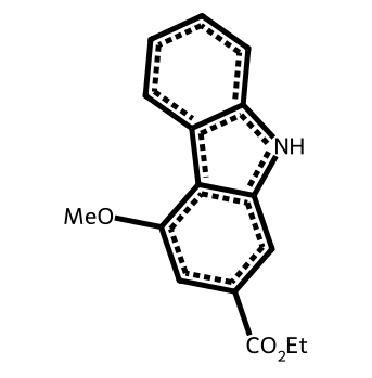 CCOC(=O)c1cc(OC)c2c(c1)[nH]c1ccccc12